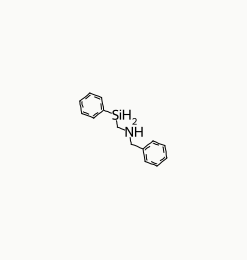 c1ccc(CNC[SiH2]c2ccccc2)cc1